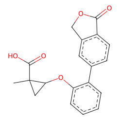 CC1(C(=O)O)CC1Oc1ccccc1-c1ccc2c(c1)COC2=O